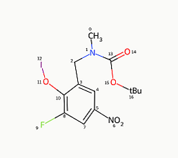 CN(Cc1cc([N+](=O)[O-])cc(F)c1OI)C(=O)OC(C)(C)C